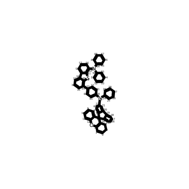 C1=CC2=C(CC1)C1(c3ccccc3O2)c2ccccc2-c2cc(N(c3ccccc3)c3ccc(-c4cccc5c4sc4c(N(c6ccccc6)c6ccccc6)cccc45)cc3)ccc21